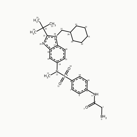 BCC(=O)Nc1ccc(S(=O)(=O)N(C)c2ccc3c(c2)nc(C(C)(C)C)n3CC2CCCCC2)cc1